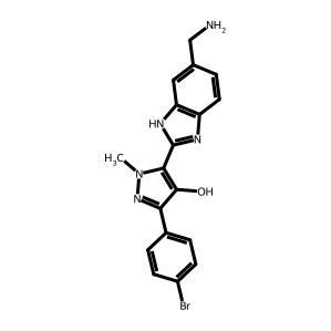 Cn1nc(-c2ccc(Br)cc2)c(O)c1-c1nc2ccc(CN)cc2[nH]1